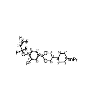 CCCC1CCC(C2COC(c3ccc(OC(F)(F)C=C(F)F)c(F)c3)OC2)CC1